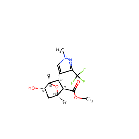 COC(=O)[C@@H]1[C@@H](c2cn(C)nc2C(F)(F)F)[C@H]2O[C@@H]1C[C@@H]2O